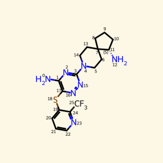 Nc1nc(N2CCC3(CCC[C@@H]3N)CC2)nnc1Sc1cccnc1C(F)(F)F